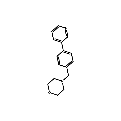 [c]1cncc(-c2ccc(CN3CCOCC3)cc2)c1